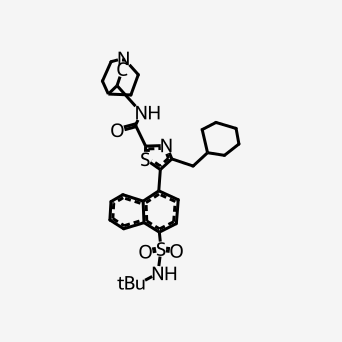 CC(C)(C)NS(=O)(=O)c1ccc(-c2sc(C(=O)NC3CN4CCC3CC4)nc2CC2CCCCC2)c2ccccc12